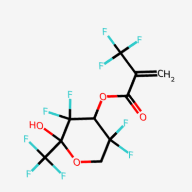 C=C(C(=O)OC1C(F)(F)COC(O)(C(F)(F)F)C1(F)F)C(F)(F)F